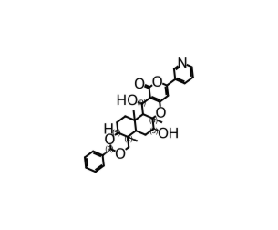 CC12CC[C@@H]3O[C@H](c4ccccc4)OC[C@@]3(C)C1C[C@H](O)[C@@]1(C)Oc3cc(-c4cccnc4)oc(=O)c3[C@H](O)C21